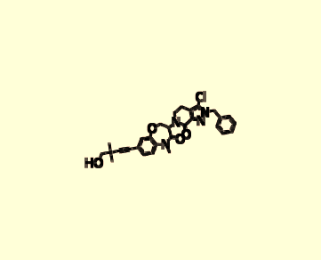 CN1C(=O)C(N2CCc3c(nn(Cc4ccccc4)c3Cl)C2=O)COc2cc(C#CC(C)(C)CO)ccc21